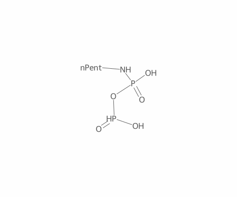 CCCCCNP(=O)(O)O[PH](=O)O